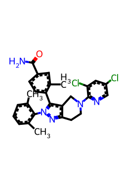 Cc1cc(C(N)=O)ccc1-c1c2c(nn1-c1c(C)cccc1C)CCN(c1ncc(Cl)cc1Cl)C2